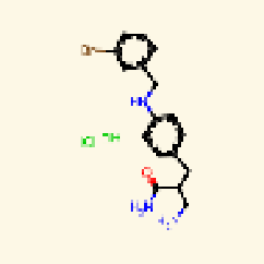 Cl.Cl.NCC(Cc1ccc(NCc2cccc(Br)c2)cc1)C(N)=O